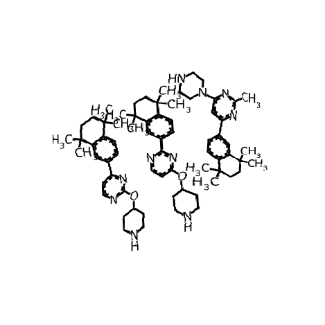 CC1(C)CCC(C)(C)c2cc(-c3ccnc(OC4CCNCC4)n3)ccc21.CC1(C)CCC(C)(C)c2cc(-c3nccc(OC4CCNCC4)n3)ccc21.Cc1nc(-c2ccc3c(c2)C(C)(C)CCC3(C)C)cc(N2CCNCC2)n1